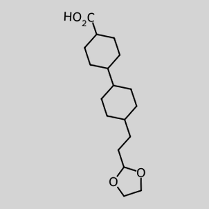 O=C(O)C1CCC(C2CCC(CCC3OCCO3)CC2)CC1